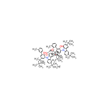 Cc1cccc(C2=CC(C(C)(C)CC(C)(C)C)=CC(n3c4ccc(C(C)(C)C)cc4c4cc(C(C)(C)C)ccc43)C2(O)OCCCOc2c(C)cccc2-c2cc(C(C)(C)CC(C)(C)C)cc(-n3c4ccc(C(C)(C)C)cc4c4cc(C(C)(C)C)ccc43)c2O)c1.[Hf]